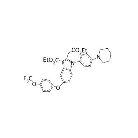 CCOC(=O)Cc1c(C(=O)OCC)c2cc(Oc3ccc(OC(F)(F)F)cc3)ccc2n1-c1ccc(N2CCCCC2)cc1